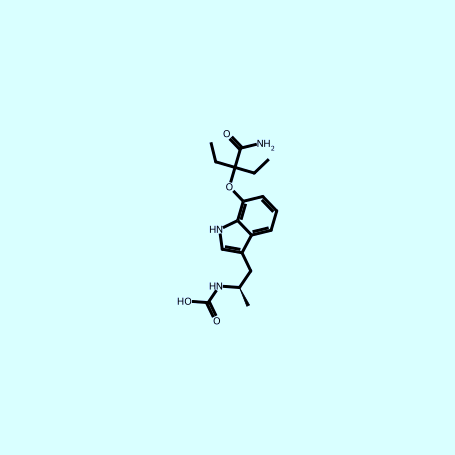 CCC(CC)(Oc1cccc2c(C[C@@H](C)NC(=O)O)c[nH]c12)C(N)=O